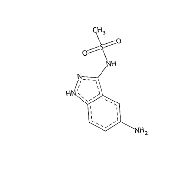 CS(=O)(=O)Nc1n[nH]c2ccc(N)cc12